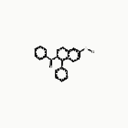 CCOc1ccc2c(-c3ccccc3)c(C(=O)c3ccccc3)ccc2c1